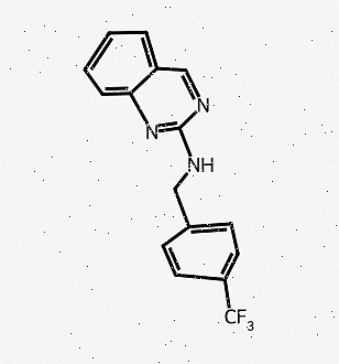 FC(F)(F)c1ccc(CNc2ncc3ccccc3n2)cc1